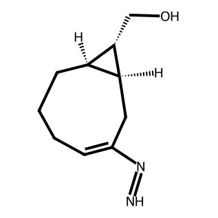 N=N/C1=C/CCC[C@H]2[C@H](CO)[C@H]2C1